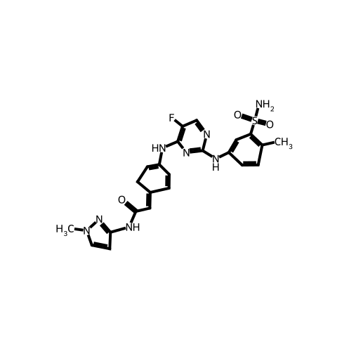 Cc1ccc(Nc2ncc(F)c(NC3=CCC(=CC(=O)Nc4ccn(C)n4)C=C3)n2)cc1S(N)(=O)=O